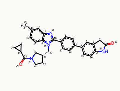 O=C1Cc2cc(-c3ccc(-c4nc5cc(C(F)(F)F)ccc5n4C[C@@H]4CCN(C(=O)C5CC5)C4)cc3)ccc2N1